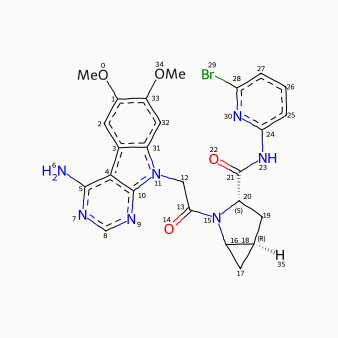 COc1cc2c3c(N)ncnc3n(CC(=O)N3C4C[C@@H]4C[C@H]3C(=O)Nc3cccc(Br)n3)c2cc1OC